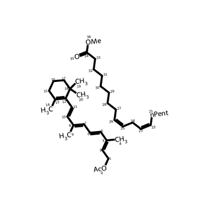 CC(=O)OCC=C(C)C=CC=C(C)C=CC1=C(C)CCCC1(C)C.CCCCC/C=C\C/C=C\CCCCCCCC(=O)OC